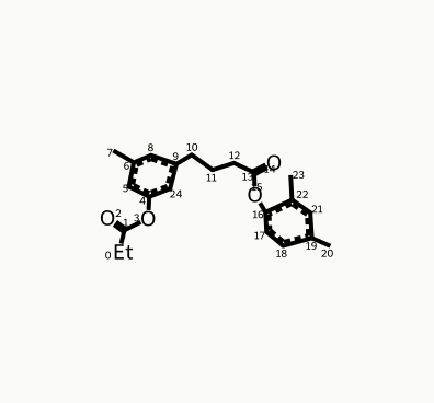 CCC(=O)Oc1cc(C)cc(CCCC(=O)Oc2ccc(C)cc2C)c1